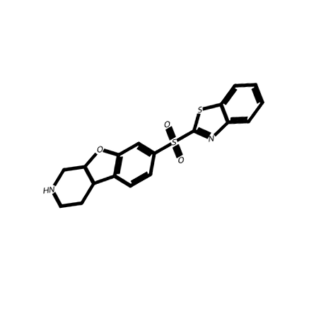 O=S(=O)(c1ccc2c(c1)OC1CNCCC21)c1nc2ccccc2s1